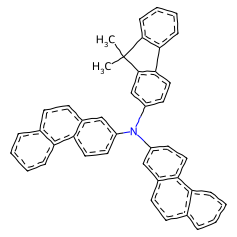 CC1(C)c2ccccc2-c2ccc(N(c3ccc4c(ccc5ccccc54)c3)c3ccc4c(ccc5ccccc54)c3)cc21